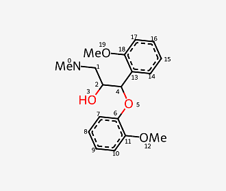 CNCC(O)C(Oc1ccccc1OC)c1ccccc1OC